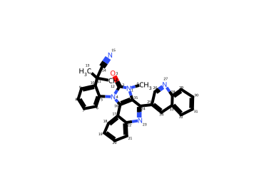 Cn1c(=O)n(-c2ccccc2C(C)(C)C#N)c2c3ccccc3nc(-c3cnc4ccccc4c3)c21